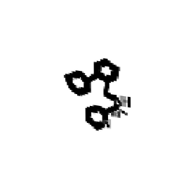 C[C@@H](NCc1ccccc1-c1ccccc1)c1ccccn1